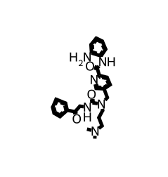 CN(C)CCCN(Cc1ccc(C(=O)Nc2ccccc2N)nc1)C(=O)NCC(=O)c1ccccc1